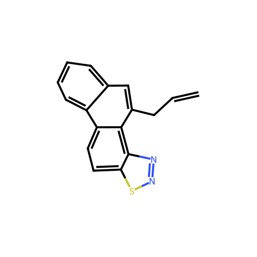 C=CCc1cc2ccccc2c2ccc3snnc3c12